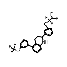 FC(F)C(F)(F)Oc1cccc(C2CCc3c(cccc3-c3cccc(OC(F)(F)F)c3)N2)c1